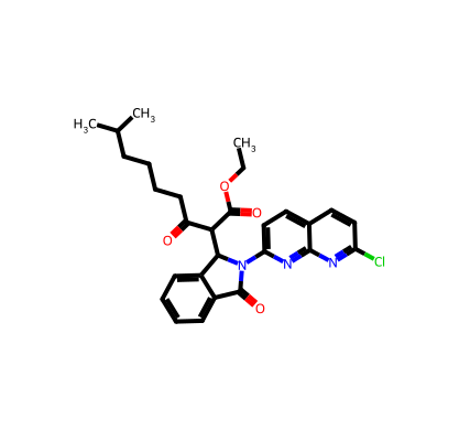 CCOC(=O)C(C(=O)CCCCC(C)C)C1c2ccccc2C(=O)N1c1ccc2ccc(Cl)nc2n1